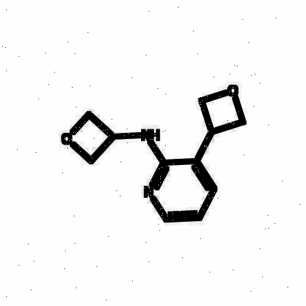 c1cnc(NC2COC2)c(C2COC2)c1